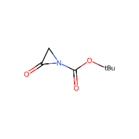 CC(C)(C)OC(=O)N1CC1=O